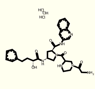 Cl.Cl.Cl.NCC(=O)N1CCNC(C(=O)N2C[C@H](NC(=O)[C@H](O)CCc3ccccc3)C[C@H]2C(=O)Nc2cnc3ccccc3c2)C1